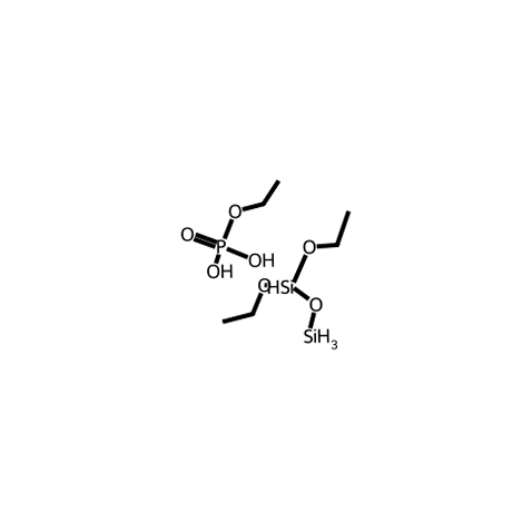 CCOP(=O)(O)O.CCO[SiH](O[SiH3])OCC